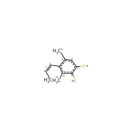 C/C=C\c1c(C)cc(F)c(F)c1C